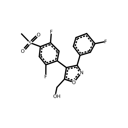 CS(=O)(=O)c1cc(F)c(-c2c(-c3cccc(F)c3)noc2CO)cc1F